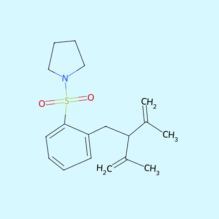 C=C(C)C(Cc1ccccc1S(=O)(=O)N1CCCC1)C(=C)C